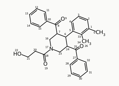 Cc1cccc(C2C(C(=O)c3ccccc3)CN(C(=O)CCO)CC2C(=O)c2ccccc2)c1C